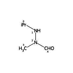 CC(C)NN(C)C=O